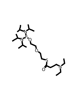 CCN(CC)CCC(=O)SCCOCCOP(N(C(C)C)C(C)C)N(C(C)C)C(C)C